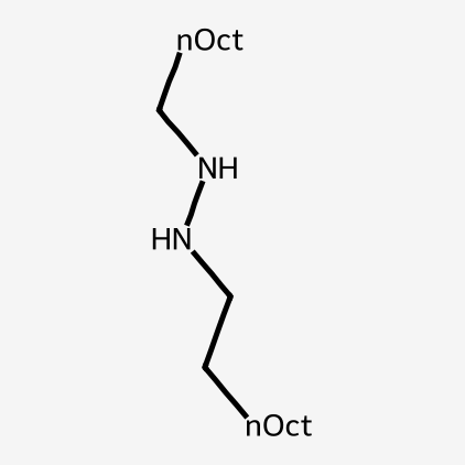 CCCCCCCCCCNNCCCCCCCCC